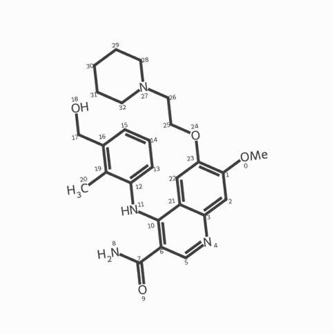 COc1cc2ncc(C(N)=O)c(Nc3cccc(CO)c3C)c2cc1OCCN1CCCCC1